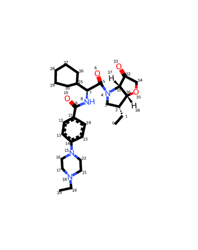 CC[C@@H]1CN(C(=O)[C@@H](NC(=O)c2ccc(N3CCN(CC)CC3)cc2)C2CCCCC2)[C@@H]2C(=O)CO[C@H]12